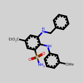 CCOC(=O)c1cc(NCc2ccccc2)c(Nc2cccc(OC)c2)c(S(N)(=O)=O)c1